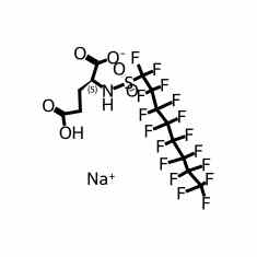 O=C(O)CC[C@H](NS(=O)(=O)C(F)(F)C(F)(F)C(F)(F)C(F)(F)C(F)(F)C(F)(F)C(F)(F)C(F)(F)F)C(=O)[O-].[Na+]